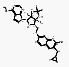 COc1ncnc2c1ccn2[C@@H]1S[C@H](COc2ccc3cc(CC4CC4)c(N)nc3c2)[C@H]2OC(C)(C)O[C@H]21